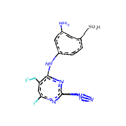 N#[N+]c1nc(F)c(F)c(Nc2ccc(S(=O)(=O)O)c(N)c2)n1